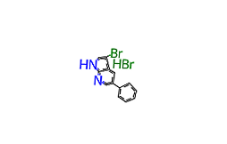 Br.Brc1c[nH]c2ncc(-c3ccccc3)cc12